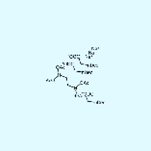 CC(=O)ON(CCN(OC(C)=O)OC(C)=O)OC(C)=O.CCCCCCCCCCCC(=O)[O-].CCCCCCCCCCCC(=O)[O-].CCCCCCCCCCCC(=O)[O-].[Na+].[Na+].[Na+]